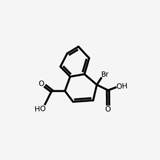 O=C(O)C1C=CC(Br)(C(=O)O)c2ccccc21